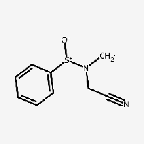 [CH2]N(CC#N)[S+]([O-])c1ccccc1